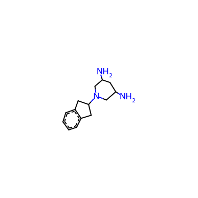 NC1CC(N)CN(C2Cc3ccccc3C2)C1